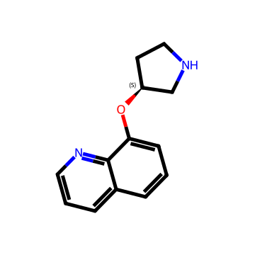 c1cnc2c(O[C@H]3CCNC3)cccc2c1